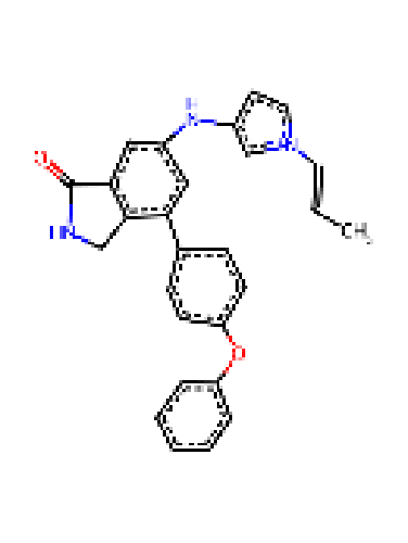 CC=Cn1ccc(Nc2cc3c(c(-c4ccc(Oc5ccccc5)cc4)c2)CNC3=O)c1